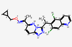 C/C(=N\OCC1CC1)c1ccc2nnc([C@@H](C)c3c(F)cc4ncccc4c3F)n2n1